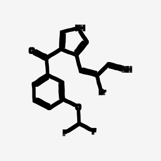 N=C/C(Br)=C\c1c[nH]cc1C(=O)c1cccc(OC(F)F)c1